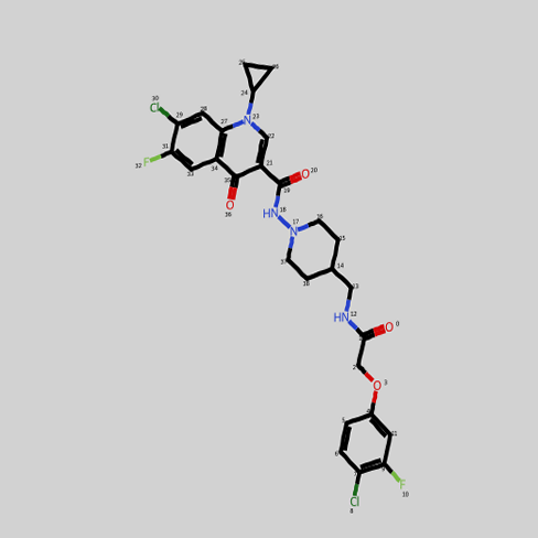 O=C(COc1ccc(Cl)c(F)c1)NCC1CCN(NC(=O)c2cn(C3CC3)c3cc(Cl)c(F)cc3c2=O)CC1